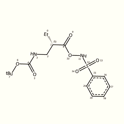 CC[C@@H](CNC(=O)OC(C)(C)C)C(=O)ONS(=O)(=O)c1ccccc1